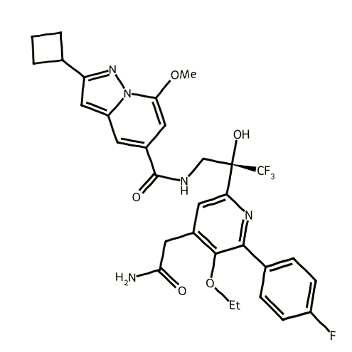 CCOc1c(CC(N)=O)cc([C@@](O)(CNC(=O)c2cc(OC)n3nc(C4CCC4)cc3c2)C(F)(F)F)nc1-c1ccc(F)cc1